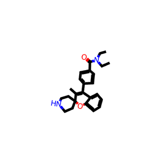 CCN(CC)C(=O)c1ccc(C2=C(C)C3(CCNCC3)Oc3ccccc32)cc1